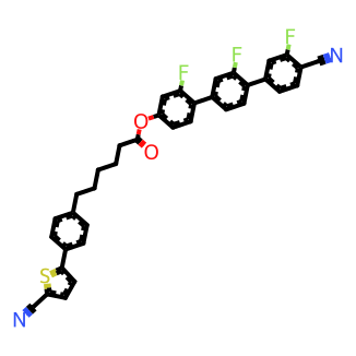 N#Cc1ccc(-c2ccc(CCCCCC(=O)Oc3ccc(-c4ccc(-c5ccc(C#N)c(F)c5)c(F)c4)c(F)c3)cc2)s1